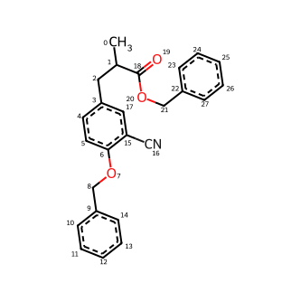 CC(Cc1ccc(OCc2ccccc2)c(C#N)c1)C(=O)OCc1ccccc1